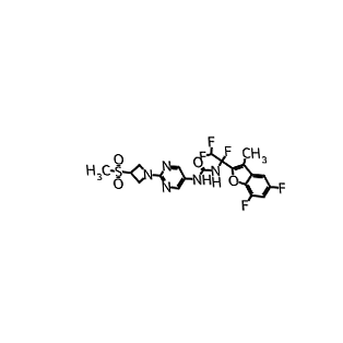 Cc1c(C(F)(NC(=O)Nc2cnc(N3CC(S(C)(=O)=O)C3)nc2)C(F)F)oc2c(F)cc(F)cc12